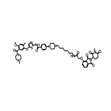 COc1cc(C)c(Sc2cnc(NC(=O)c3ccc(N4CCN(CCCCCCCNC(=O)COc5cccc6c5C(=O)N(C5CCC(=O)N(C)C5=O)C6=O)CC4)cc3)s2)cc1C(=O)N1CCN(C)CC1